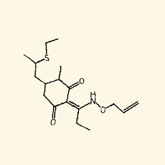 C=CCON/C(CC)=C1/C(=O)CC(CC(C)SCC)C(C)C1=O